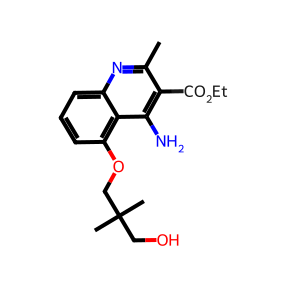 CCOC(=O)c1c(C)nc2cccc(OCC(C)(C)CO)c2c1N